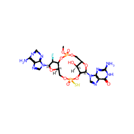 COP1(=O)OCC2O[C@@H](n3cnc4c(=O)[nH]c(N)nc43)C(OP(=O)(S)OC[C@H]3O[C@@H](n4cnc5c(N)ncnc54)C(F)C3O1)[C@H]2O